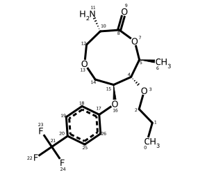 CCCO[C@H]1[C@H](C)OC(=O)[C@@H](N)COC[C@@H]1Oc1ccc(C(F)(F)F)cc1